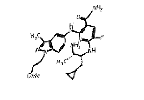 COCCn1nc(C)c2cc(Nc3nc(N[C@H](CC4CC4)[C@H](C)N)c(F)cc3C(N)=O)ccc21